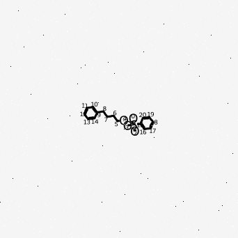 O=S(=O)(OOCCCCc1ccccc1)c1ccccc1